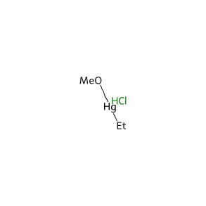 C[CH2][Hg][O]C.Cl